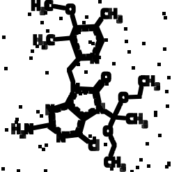 CCOC(C)(OCC)n1c(=O)n(Cc2ncc(C)c(OC)c2C)c2nc(N)nc(Cl)c21